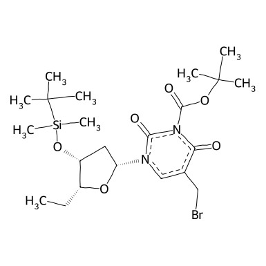 CC[C@H]1O[C@@H](n2cc(CBr)c(=O)n(C(=O)OC(C)(C)C)c2=O)C[C@H]1O[Si](C)(C)C(C)(C)C